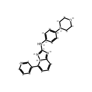 c1cncc(-c2cccc3nc(Nc4ccc(N5CCOCC5)cc4)nn23)c1